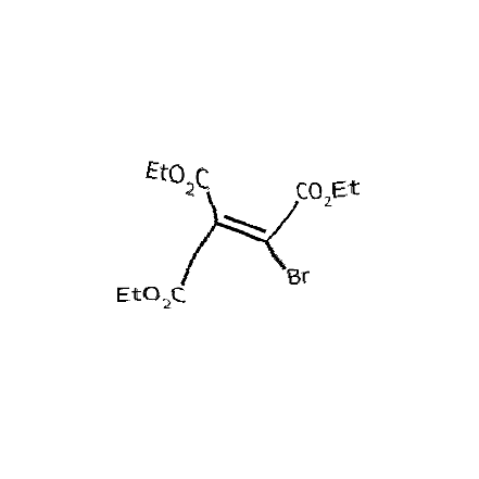 CCOC(=O)C(Br)=C(C(=O)OCC)C(=O)OCC